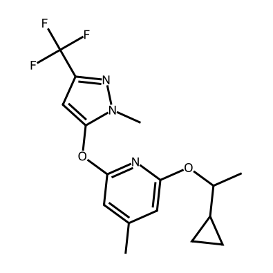 Cc1cc(Oc2cc(C(F)(F)F)nn2C)nc(OC(C)C2CC2)c1